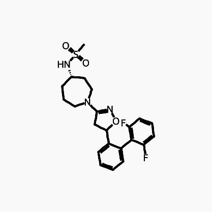 CS(=O)(=O)N[C@H]1CCCN(C2=NOC(c3ccccc3-c3c(F)cccc3F)C2)CC1